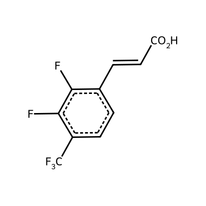 O=C(O)C=Cc1ccc(C(F)(F)F)c(F)c1F